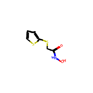 O=C(CSc1cccs1)NO